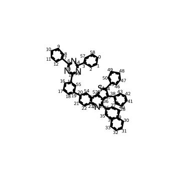 c1ccc(-c2nc(-c3ccccc3)nc(-c3cccc(-c4ccc5nc(-c6ccc7ccccc7c6)c6c(-c7ccccc7)c(-c7ccccc7)sc6c5c4)c3)n2)cc1